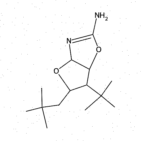 CC(C)(C)CC1OC2N=C(N)OC2C1C(C)(C)C